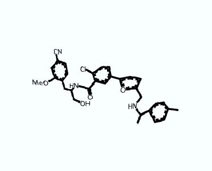 COc1cc(C#N)ccc1CC(CO)NC(=O)c1cc(-c2ccc(CNC(C)c3ccc(C)cc3)o2)ccc1Cl